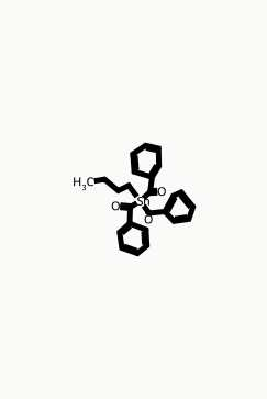 CCC[CH2][Sn]([C](=O)c1ccccc1)([C](=O)c1ccccc1)[C](=O)c1ccccc1